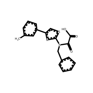 Cc1cccc(-c2csc(N(Cc3ccccc3)C(=O)C(=O)O)n2)c1